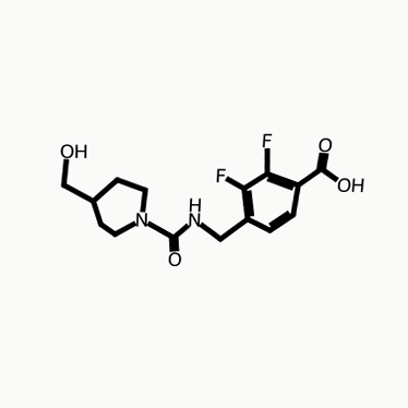 O=C(O)c1ccc(CNC(=O)N2CCC(CO)CC2)c(F)c1F